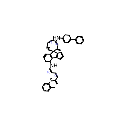 C=C(/C=C\C=C/NC1CC#CC2=C1C1=C(C=C=C1)C21C(=C)/C=C(NC2=CC=C(c3ccccc3)CC2)\C=C/C2=CCC=C21)Sc1ccccc1C